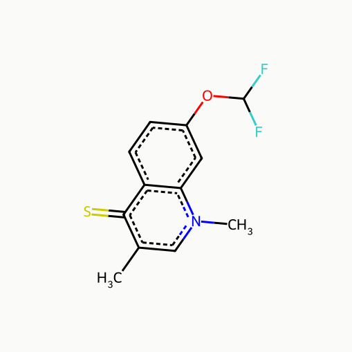 Cc1cn(C)c2cc(OC(F)F)ccc2c1=S